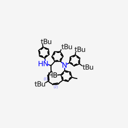 Cc1cc2c3c(c1)N(c1cc(C(C)(C)C)cc(C(C)(C)C)c1)c1cc(C(C)(C)C)ccc1C(Nc1ccc(C(C)(C)C)cc1)C(B3)/C=C(C(C)(C)C)\C=C/2